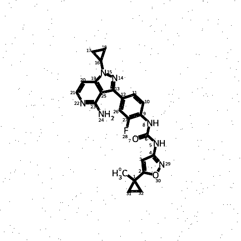 CC1(c2cc(NC(=O)Nc3ccc(-c4nn(C5CC5)c5ccnc(N)c45)cc3F)no2)CC1